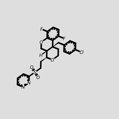 O=S(=O)(CC[C@@H]1OCC[C@@]2(Cc3ccc(Cl)cc3)c3c(F)ccc(F)c3OC[C@@H]12)c1cccnn1